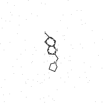 Ic1ccc2nc(CN3CCCC3)ccc2c1